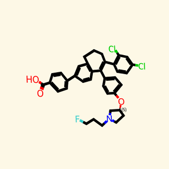 O=C(O)c1ccc(-c2ccc3c(c2)CCCC(c2ccc(Cl)cc2Cl)=C3c2ccc(O[C@H]3CCN(CCCF)C3)cc2)cc1